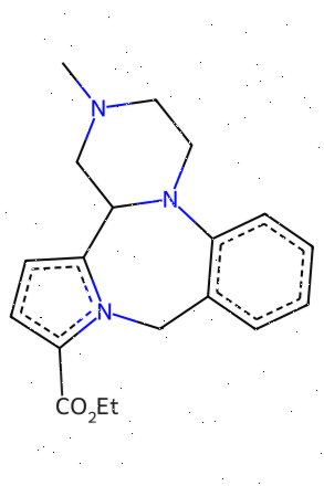 CCOC(=O)c1ccc2n1Cc1ccccc1N1CCN(C)CC21